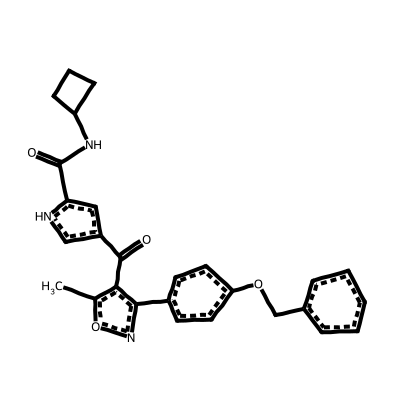 Cc1onc(-c2ccc(OCc3ccccc3)cc2)c1C(=O)c1c[nH]c(C(=O)NC2CCC2)c1